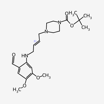 COc1cc(C=O)c(NC/C=C/CN2CCN(C(=O)OC(C)(C)C)CC2)cc1OC